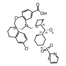 CO[C@H]([C@@H]1CCC[C@@H](S(=O)(=O)c2ncccn2)C1)[C@@H]1CC[C@H]1CN1C[C@]2(CCCc3cc(Cl)ccc32)COc2ccc(C(=O)O)cc21